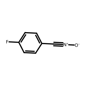 [O-][N+]#Cc1ccc(F)cc1